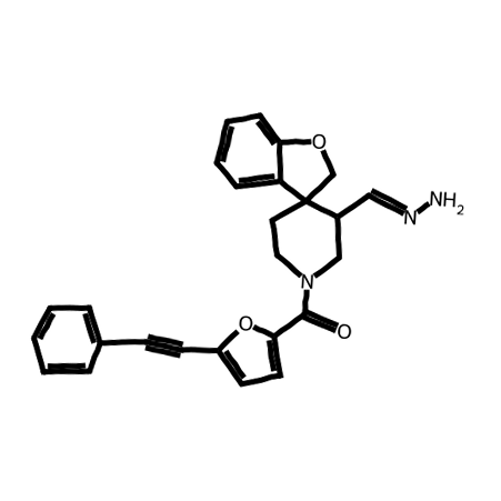 NN=CC1CN(C(=O)c2ccc(C#Cc3ccccc3)o2)CCC12COc1ccccc12